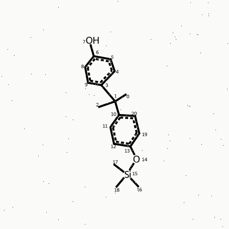 CC(C)(c1ccc(O)cc1)c1ccc(O[Si](C)(C)C)cc1